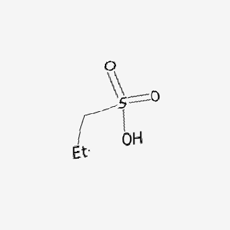 C[CH]CS(=O)(=O)O